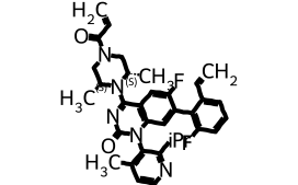 C=CC(=O)N1C[C@H](C)N(c2nc(=O)n(-c3c(C)ccnc3C(C)C)c3cc(-c4c(F)cccc4C=C)c(F)cc23)[C@@H](C)C1